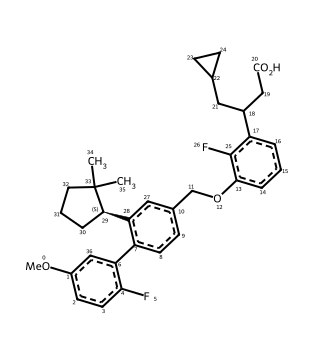 COc1ccc(F)c(-c2ccc(COc3cccc(C(CC(=O)O)CC4CC4)c3F)cc2[C@H]2CCCC2(C)C)c1